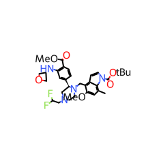 COC(=O)c1ccc([C@@H]2CN(CC(F)F)CCN2Cc2c(OC)cc(C)c3c2ccn3C(=O)OC(C)(C)C)cc1NC1COC1